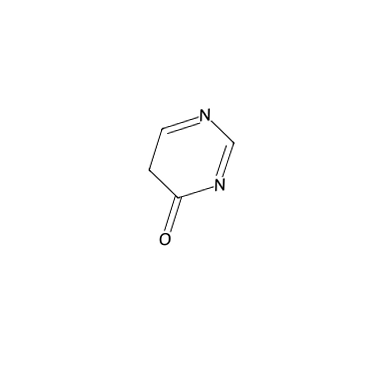 O=C1CC=NC=N1